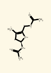 CC(=O)OCC1=C(C)C[C@H](OC(C)=O)O1